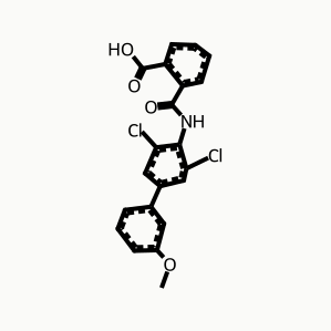 COc1cccc(-c2cc(Cl)c(NC(=O)c3ccccc3C(=O)O)c(Cl)c2)c1